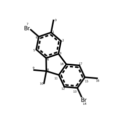 Cc1cc2c(cc1Br)C(C)(C)c1cc(Br)c(C)cc1-2